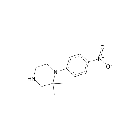 CC1(C)CNCCN1c1ccc([N+](=O)[O-])cc1